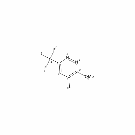 [CH2]c1cc(C(C)(F)F)nnc1OC